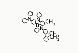 Cc1cc2c3c(c1)N(c1ccccc1)c1cc(N(c4ccccc4)c4ccccc4)ccc1B3c1ccccc1N2c1ccc2c(c1)-c1ccccc1C2(C)C